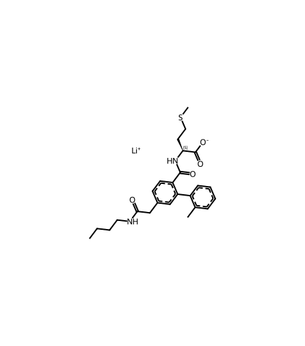 CCCCNC(=O)Cc1ccc(C(=O)N[C@@H](CCSC)C(=O)[O-])c(-c2ccccc2C)c1.[Li+]